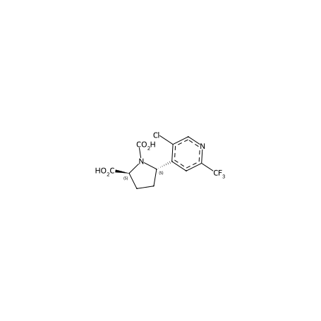 O=C(O)[C@@H]1CC[C@@H](c2cc(C(F)(F)F)ncc2Cl)N1C(=O)O